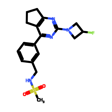 CS(=O)(=O)NCc1cccc(-c2nc(N3CC(F)C3)nc3c2CCC3)c1